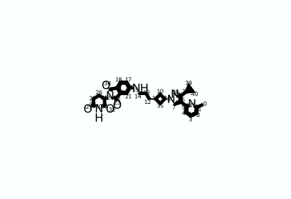 Cc1cccc(-c2cn([C@H]3C[C@H](CCCNc4ccc5c(c4)C(=O)N(C4CCC(=O)NC4=O)C5=O)C3)nc2C2CC2)n1